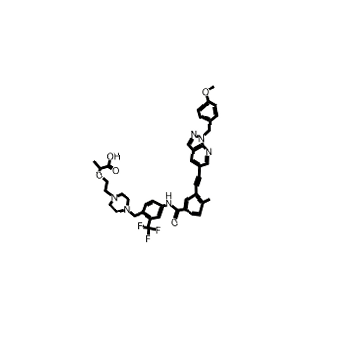 COc1ccc(Cn2ncc3cc(C#Cc4cc(C(=O)Nc5ccc(CN6CCN(CCOC(C)C(=O)O)CC6)c(C(F)(F)F)c5)ccc4C)cnc32)cc1